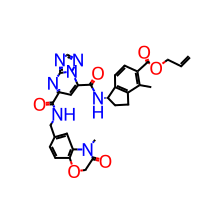 C=CCOC(=O)c1ccc2c(c1C)CC[C@@H]2NC(=O)c1cc(C(=O)NCc2ccc3c(c2)N(C)C(=O)CO3)nc2ncnn12